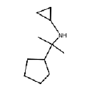 CC(C)(NC1CC1)C1CCCC1